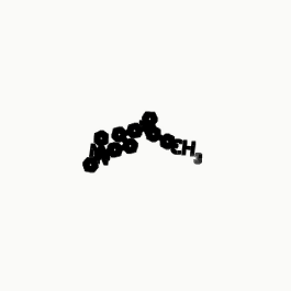 Cc1ccc(-c2ccc3c(c2)c2ccccc2n3-c2ccc(-c3ccccc3-c3ccccc3-c3ccc(-n4nc(-c5ccccc5)nc4-c4ccccc4)cc3)cc2)cc1